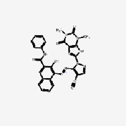 [C-]#[N+]c1cnn(-c2nc3c(=O)n(C)c(=O)n(C)c3[nH]2)c1/N=N/c1c(O)c(C(=O)Nc2ccccc2)cc2ccccc12